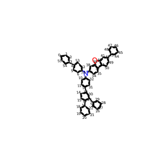 c1ccc(-c2ccc(N(c3ccc(-c4ccc(-c5ccccc5)c(-c5ccccc5)c4)cc3)c3ccc4c(c3)oc3cc(-c5ccccc5)ccc34)cc2)cc1